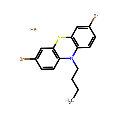 Br.CCCCN1c2ccc(Br)cc2Sc2cc(Br)ccc21